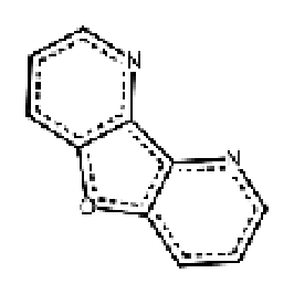 c1cnc2c(c1)oc1cccnc12